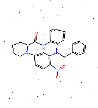 O=C(Nc1ccccc1)C1CCCCN1c1ccc([N+](=O)[O-])c(NCc2ccccc2)c1